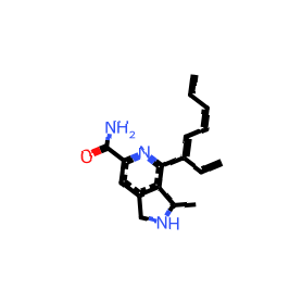 C=C/C=C\C=C(/C=C)c1nc(C(N)=O)cc2c1C(C)NC2